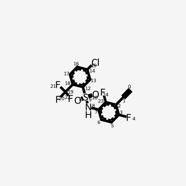 C#Cc1c(F)ccc(NS(=O)(=O)c2cc(Cl)ccc2C(F)(F)F)c1F